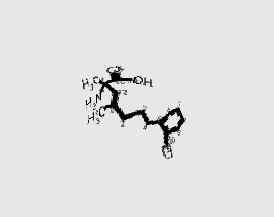 CC(CCCc1ccccc1Cl)CC(C)(N)C(=O)O